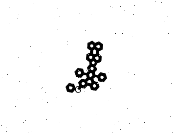 c1ccc(Oc2ccc3c(c2)c2ccccc2c2c(-c4ccccc4)c4cc5c(cc4c(-c4ccccc4)c32)-c2ccc3c4cccc6cccc(c7ccc-5c2c73)c64)cc1